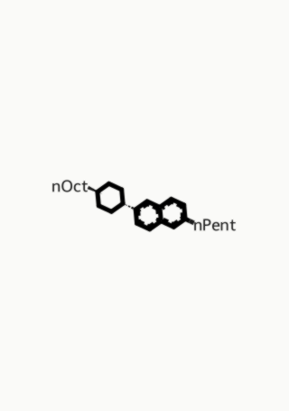 CCCCCCCC[C@H]1CC[C@H](c2ccc3cc(CCCCC)ccc3c2)CC1